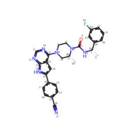 C[C@H](NC(=O)N1CCN(c2ncnc3[nH]c(-c4ccc(C#N)cc4)cc23)C[C@H]1C)c1cccc(F)c1